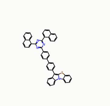 c1ccc2c(-c3nc(-c4ccc(-c5ccc(-c6c7ccccc7n7c6sc6ccccc67)cc5)cc4)nc(-c4cccc5ccccc45)n3)cccc2c1